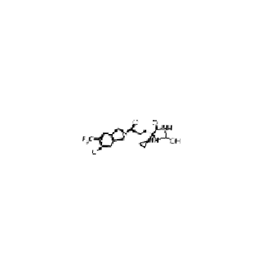 O=C(CC[C@@]1(C2CC2)NC(O)NC1=O)N1Cc2cc(Cl)c(C(F)(F)F)cc2C1